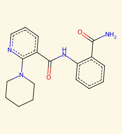 NC(=O)c1ccccc1NC(=O)c1cccnc1N1CCCCC1